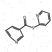 O=C(Sc1ccccn1)c1cccnc1